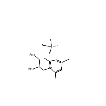 CC(=O)OCC(C[n+]1c(C)cc(C)cc1C)OC(C)=O.F[B-](F)(F)F